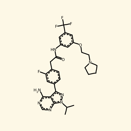 CC(C)n1nc(-c2ccc(CC(=O)Nc3cc(OCCN4CCCC4)cc(C(F)(F)F)c3)c(F)c2)c2c(N)ncnc21